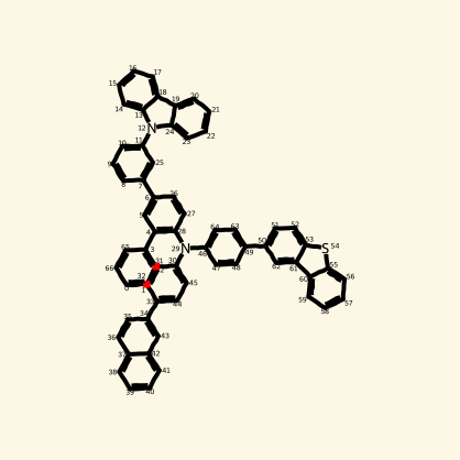 c1ccc(-c2cc(-c3cccc(-n4c5ccccc5c5ccccc54)c3)ccc2N(c2ccc(-c3ccc4ccccc4c3)cc2)c2ccc(-c3ccc4sc5ccccc5c4c3)cc2)cc1